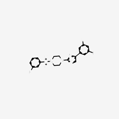 O=S(=O)(c1cccc(F)c1)N1CCN(c2nc(-c3cc(F)cc(Cl)c3)cs2)CC1